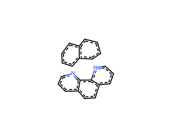 c1ccc2ccccc2c1.c1cnc2c(c1)ccc1cccnc12